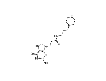 Nc1nc2c(c(=O)[nH]1)NCN2CCC(=O)NCCCN1CCOCC1